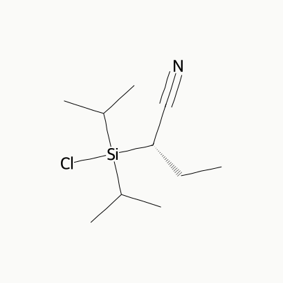 CC[C@@H](C#N)[Si](Cl)(C(C)C)C(C)C